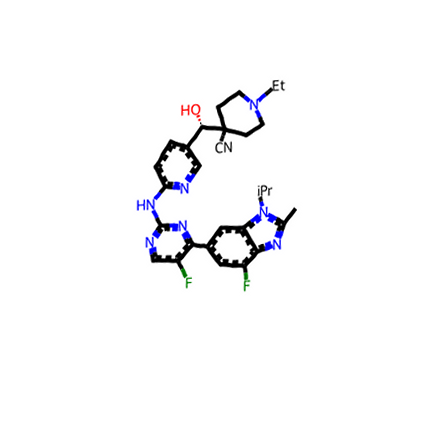 CCN1CCC(C#N)([C@@H](O)c2ccc(Nc3ncc(F)c(-c4cc(F)c5nc(C)n(C(C)C)c5c4)n3)nc2)CC1